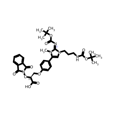 Cn1c(-c2ccc(OC[C@H](ON3C(=O)c4ccccc4C3=O)C(=O)O)cc2)cn(CCCNC(=O)OC(C)(C)C)/c1=N/C(=O)OC(C)(C)C